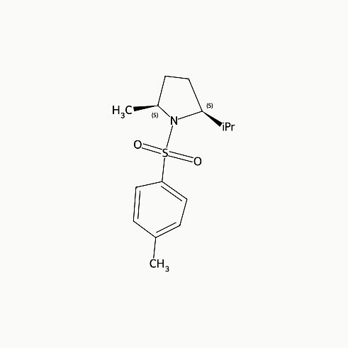 Cc1ccc(S(=O)(=O)N2[C@@H](C)CC[C@H]2C(C)C)cc1